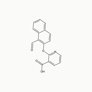 O=Cc1c(Oc2ncccc2C(=O)O)ccc2ccccc12